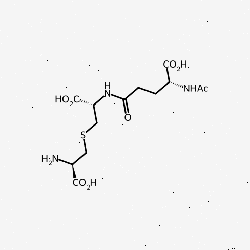 CC(=O)N[C@H](CCC(=O)N[C@H](CSC[C@H](N)C(=O)O)C(=O)O)C(=O)O